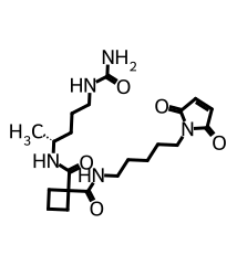 C[C@H](CCCNC(N)=O)NC(=O)C1(C(=O)NCCCCCN2C(=O)C=CC2=O)CCC1